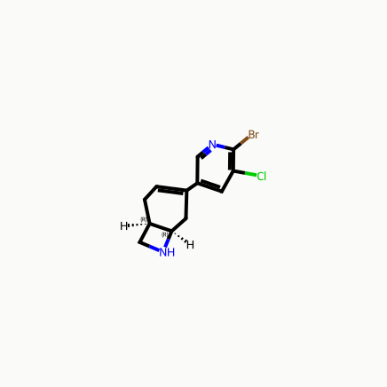 Clc1cc(C2=CC[C@@H]3CN[C@@H]3C2)cnc1Br